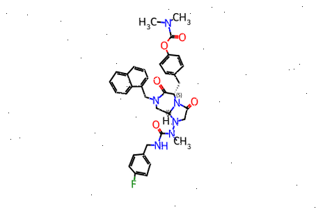 CN(C)C(=O)Oc1ccc(C[C@H]2C(=O)N(Cc3cccc4ccccc34)C[C@H]3N2C(=O)CN3N(C)C(=O)NCc2ccc(F)cc2)cc1